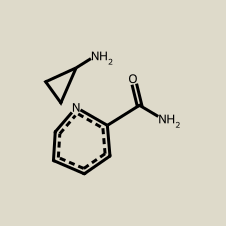 NC(=O)c1ccccn1.NC1CC1